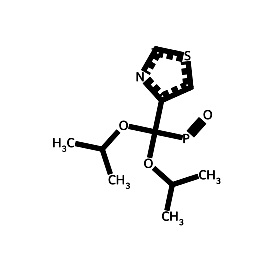 CC(C)OC(OC(C)C)(P=O)c1cs[c]n1